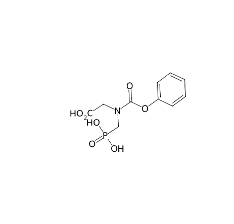 O=C(O)CN(CP(=O)(O)O)C(=O)Oc1ccccc1